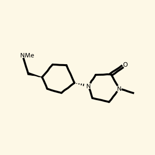 CNC[C@H]1CC[C@H](N2CCN(C)C(=O)C2)CC1